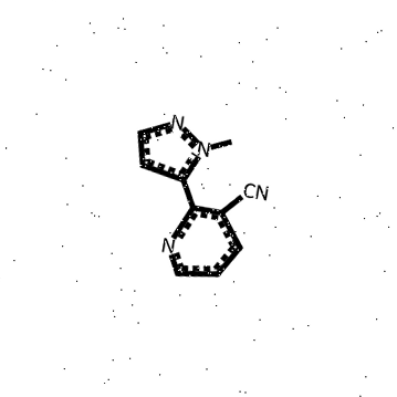 Cn1nccc1-c1ncccc1C#N